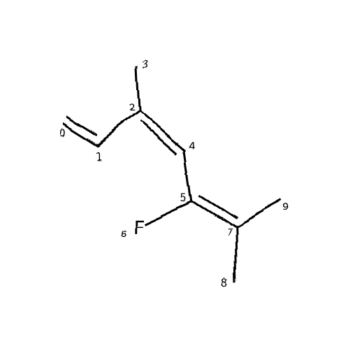 C=C/C(C)=C\C(F)=C(C)C